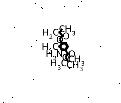 C=C(C)C(=O)Oc1ccc(C(=O)OC(C)(C)C)c(N)c1C